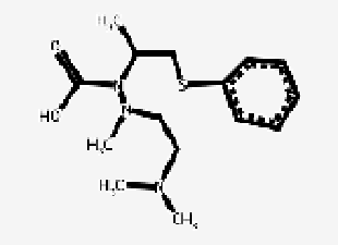 CC(CSc1ccccc1)N(C(=O)O)N(C)CCN(C)C